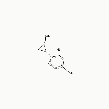 Cl.N[C@@H]1C[C@H]1c1ccc(Br)cc1